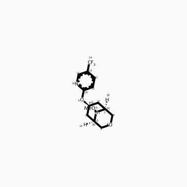 CON1[C@@H]2COC[C@H]1C[C@@H](Oc1ccc(C(F)(F)F)cn1)C2